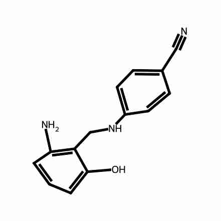 N#Cc1ccc(NCc2c(N)cccc2O)cc1